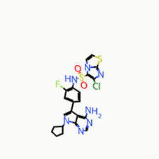 Nc1ncnc2c1c(-c1ccc(NS(=O)(=O)c3c(Cl)nc4sccn34)c(F)c1)cn2C1CCCC1